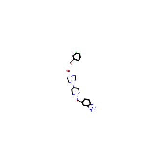 O=C(OCc1ccc(Cl)c(Cl)c1)N1CCN(C2CCN(C(=O)c3ccc4[nH]nnc4c3)CC2)CC1